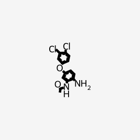 CC(=O)Nc1cc(Oc2ccc(Cl)c(Cl)c2)ccc1N